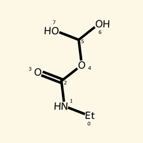 CCNC(=O)OC(O)O